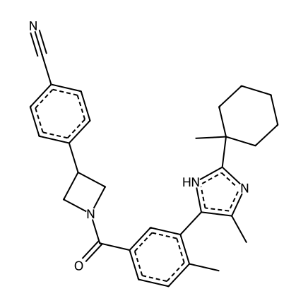 Cc1ccc(C(=O)N2CC(c3ccc(C#N)cc3)C2)cc1-c1[nH]c(C2(C)CCCCC2)nc1C